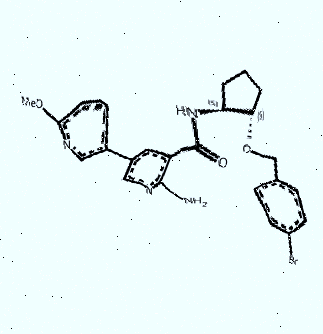 COc1ccc(-c2cnc(N)c(C(=O)N[C@H]3CCC[C@@H]3OCc3ccc(Br)cc3)c2)cn1